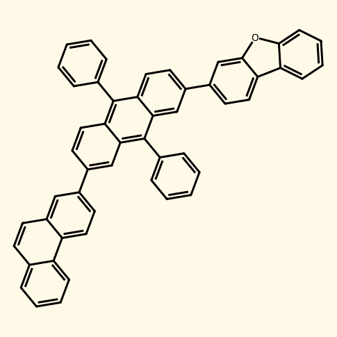 c1ccc(-c2c3ccc(-c4ccc5c(ccc6ccccc65)c4)cc3c(-c3ccccc3)c3cc(-c4ccc5c(c4)oc4ccccc45)ccc23)cc1